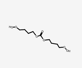 O=C(OCCCCOO)OCCCCOO